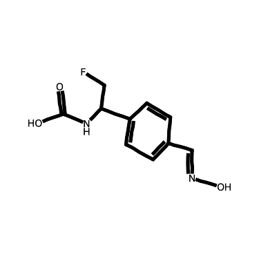 O=C(O)NC(CF)c1ccc(C=NO)cc1